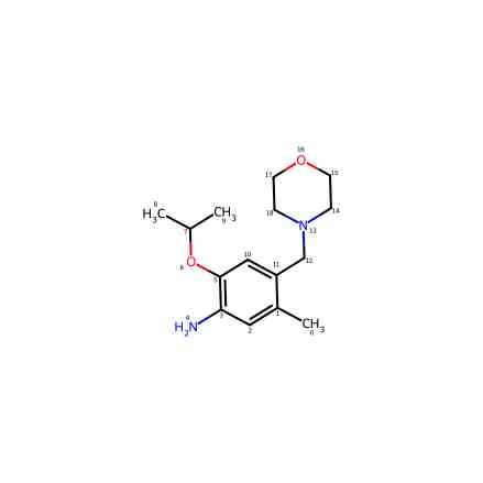 Cc1cc(N)c(OC(C)C)cc1CN1CCOCC1